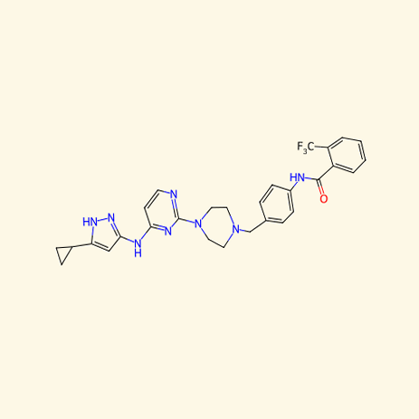 O=C(Nc1ccc(CN2CCN(c3nccc(Nc4cc(C5CC5)[nH]n4)n3)CC2)cc1)c1ccccc1C(F)(F)F